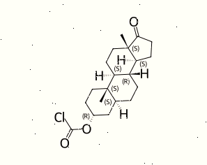 C[C@]12CC[C@@H](OC(=O)Cl)C[C@@H]1CC[C@@H]1[C@@H]2CC[C@]2(C)C(=O)CC[C@@H]12